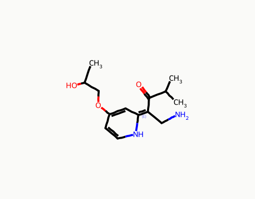 CC(O)COC1=C/C(=C(/CN)C(=O)C(C)C)NC=C1